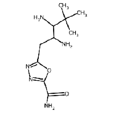 CC(C)(C)C(N)C(N)Cc1nnc(C(N)=O)o1